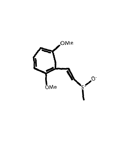 COc1cccc(OC)c1/C=C/[S+](C)[O-]